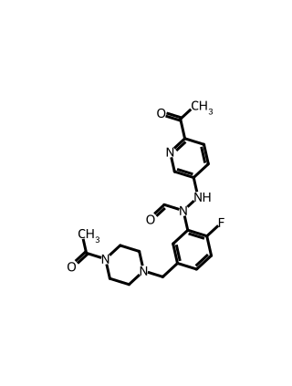 CC(=O)c1ccc(NN(C=O)c2cc(CN3CCN(C(C)=O)CC3)ccc2F)cn1